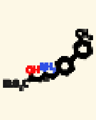 CCOC(=O)C(O)C[C@H](N)Cc1ccc(-c2cccc(C)c2)cc1